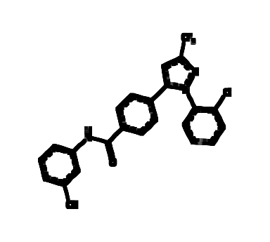 N#Cc1cccc(NC(=O)c2ccc(-c3cc(C(F)(F)F)nn3-c3ccccc3Cl)cc2)c1